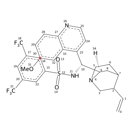 C=CC1CN2CCC1C[C@@H]2[C@H](NS(=O)(=O)c1cc(C(F)(F)F)cc(C(F)(F)F)c1)c1ccnc2ccc(OC)cc12